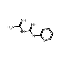 N=C(N)NC(=N)Nc1ccccn1